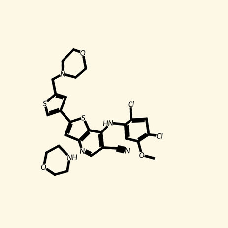 C1COCCN1.COc1cc(Nc2c(C#N)cnc3cc(-c4csc(CN5CCOCC5)c4)sc23)c(Cl)cc1Cl